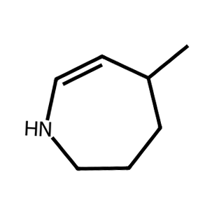 CC1C=CNCCC1